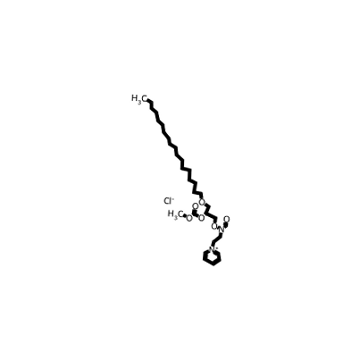 CCCCCCCCCCCCCCCCCCOCC(CON(C=O)CC[n+]1ccccc1)OC(=O)OC.[Cl-]